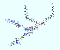 CCCCCCCC/C=C\CCCCCCCC(=O)OC[C@H](COC(=O)CCC(=O)NC(CCC(=O)NCCSSCCNC(=O)C(N)CCCN)C(=O)NCCSSCCNC(=O)C(N)CCCNC(=N)N)OC(=O)CCCCCCC/C=C\CCCCCCCC